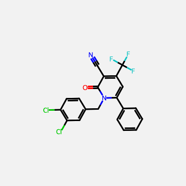 N#Cc1c(C(F)(F)F)cc(-c2ccccc2)n(Cc2ccc(Cl)c(Cl)c2)c1=O